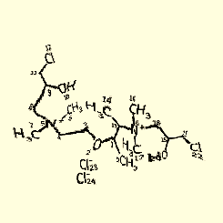 CC(OCC[N+](C)(C)CC(O)CCl)C(C)[N+](C)(C)CC(O)CCl.[Cl-].[Cl-]